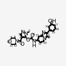 Cn1ncc(C(=O)N2CCOCC2)c1OC(=O)Nc1ccn2nc(-c3cccc(O)c3)nc2c1